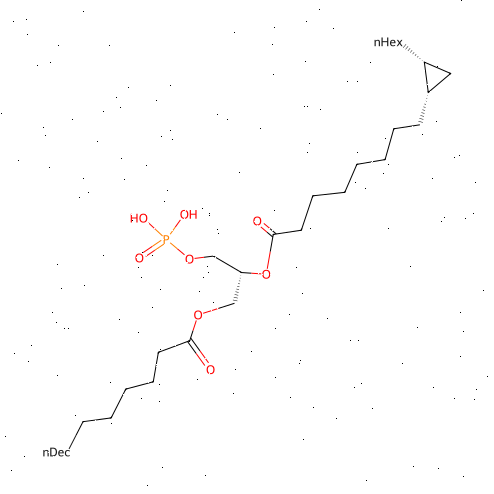 CCCCCCCCCCCCCCCC(=O)OC[C@H](COP(=O)(O)O)OC(=O)CCCCCCC[C@H]1C[C@H]1CCCCCC